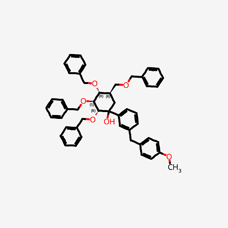 COc1ccc(Cc2cccc(C3(O)C[C@H](COCc4ccccc4)[C@@H](OCc4ccccc4)[C@H](OCc4ccccc4)[C@H]3OCc3ccccc3)c2)cc1